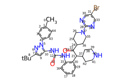 Cc1ccc(-n2nc(C(C)(C)C)cc2NC(=O)Nc2ccccc2C(C(=O)C2CCN(c3ncc(Br)cn3)CC2)C2CCNCC2)cc1